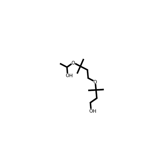 CC(O)OC(C)(C)CCOC(C)(C)CCO